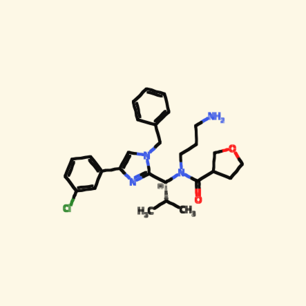 CC(C)[C@H](c1nc(-c2cccc(Cl)c2)cn1Cc1ccccc1)N(CCCN)C(=O)C1CCOC1